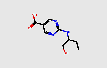 CCC(CO)Nc1ncc(C(=O)O)cn1